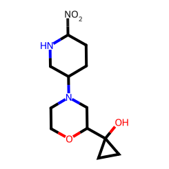 O=[N+]([O-])C1CCC(N2CCOC(C3(O)CC3)C2)CN1